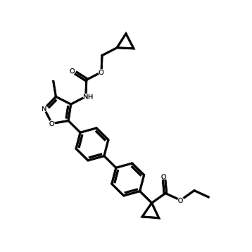 CCOC(=O)C1(c2ccc(-c3ccc(-c4onc(C)c4NC(=O)OCC4CC4)cc3)cc2)CC1